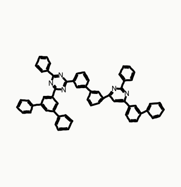 c1ccc(-c2cccc(-c3cc(-c4cccc(-c5cccc(-c6nc(-c7ccccc7)nc(-c7cc(-c8ccccc8)cc(-c8ccccc8)c7)n6)c5)c4)nc(-c4ccccc4)n3)c2)cc1